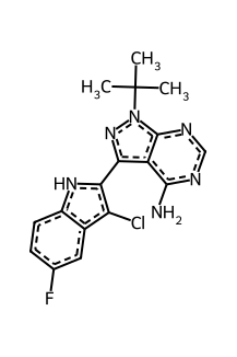 CC(C)(C)n1nc(-c2[nH]c3ccc(F)cc3c2Cl)c2c(N)ncnc21